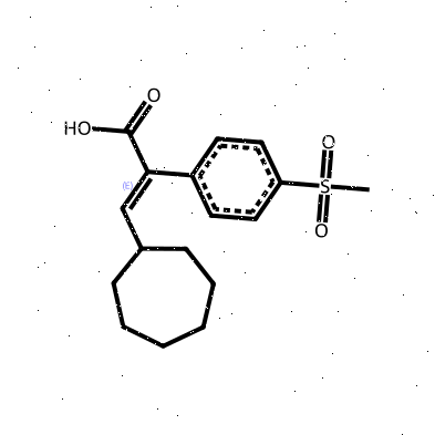 CS(=O)(=O)c1ccc(/C(=C\C2CCCCCC2)C(=O)O)cc1